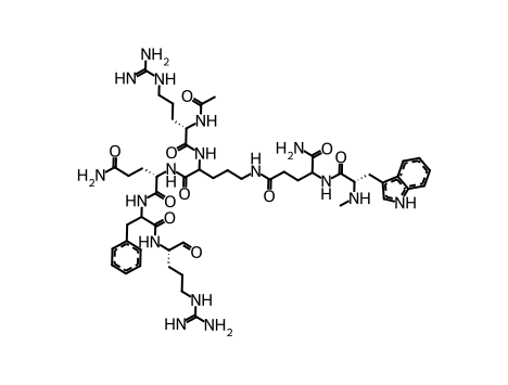 CN[C@@H](Cc1c[nH]c2ccccc12)C(=O)NC(CCC(=O)NCCCC(NC(=O)[C@H](CCCNC(=N)N)NC(C)=O)C(=O)N[C@@H](CCC(N)=O)C(=O)NC(Cc1ccccc1)C(=O)N[C@H](C=O)CCCNC(=N)N)C(N)=O